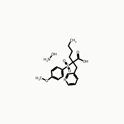 CCCCC(Cc1cccnc1)(C(=O)O)S(=O)(=O)c1ccc(OC)cc1.NO